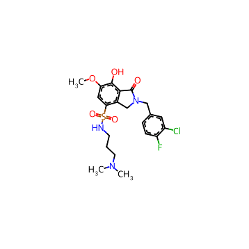 COc1cc(S(=O)(=O)NCCCN(C)C)c2c(c1O)C(=O)N(Cc1ccc(F)c(Cl)c1)C2